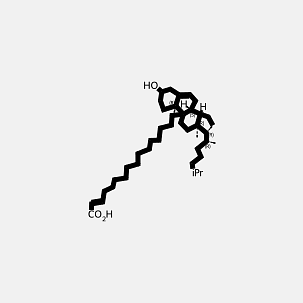 CC(C)CCC[C@@H](C)[C@H]1CC[C@H]2[C@@H]3CC=C4CC(O)CC[C@]4(C)C3(CCCCCCCCCCCCCC=CC(=O)O)CC[C@]12C